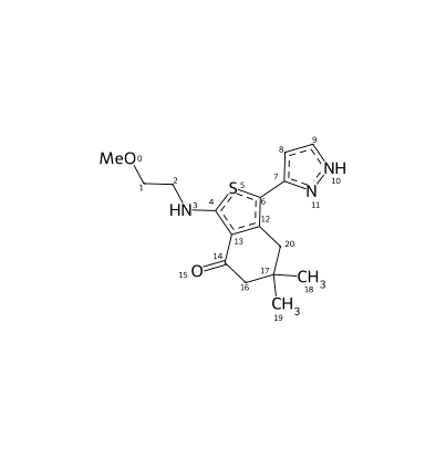 COCCNc1sc(-c2cc[nH]n2)c2c1C(=O)CC(C)(C)C2